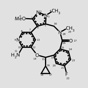 COc1nn(C)c2c1-c1cnc(N)c(c1)OC(C1CC1)c1cc(F)ccc1C(=O)N(C)C2